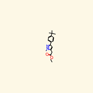 CCOC(=O)Cc1cc(-c2ccc(C(C)(C)C)cc2)nn1C